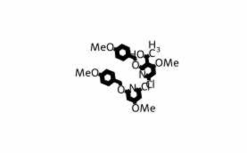 COc1ccc(COc2cc(OC)cc(Cl)n2)cc1.COc1ccc(COc2nc(Cl)cc(OC)c2C(C)O)cc1